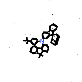 CC(C)(C)c1ccc(N(c2ccc3c(c2)C2(c4ccccc4-3)C3CC4CC(C3)CC2C4)c2cccc3c2-c2ccccc2C3(C)C)cc1